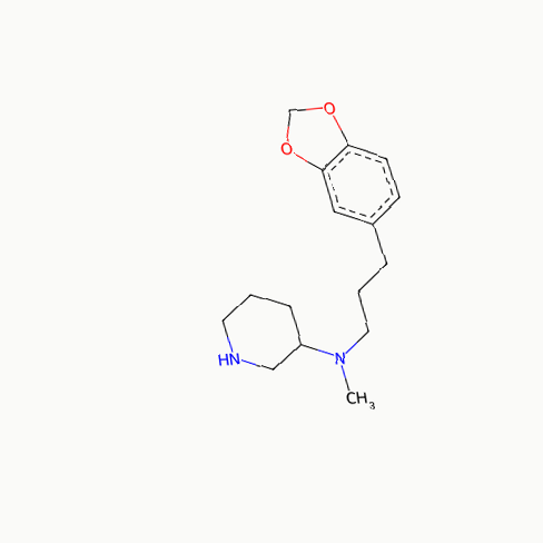 CN(CCCc1ccc2c(c1)OCO2)C1CCCNC1